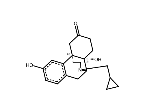 O=C1CC[C@@]2(O)C3Cc4ccc(O)cc4[C@@]2(CCN3CC2CC2)C1